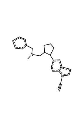 CN(Cc1ccccc1)CC1CCCC1c1ccc2c(ccn2C#N)c1